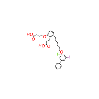 O=C(O)CCCOc1cccc(CCCCCCOC2(F)C=C(I)C=C(c3ccccc3)C2)c1CCC(=O)O